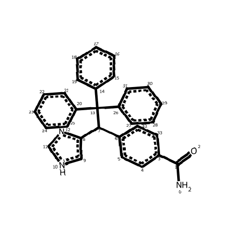 NC(=O)c1ccc(C(c2c[nH]cn2)C(c2ccccc2)(c2ccccc2)c2ccccc2)cc1